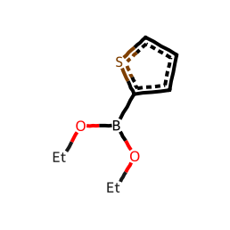 CCOB(OCC)c1cccs1